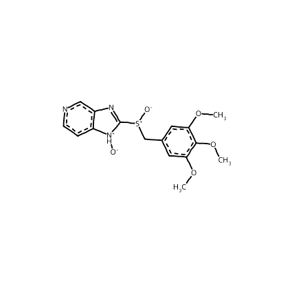 COc1cc(C[S+]([O-])C2=Nc3cnccc3[NH+]2[O-])cc(OC)c1OC